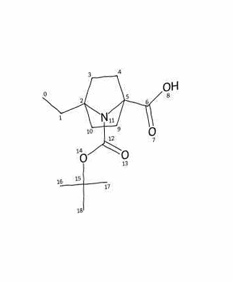 CCC12CCC(C(=O)O)(CC1)N2C(=O)OC(C)(C)C